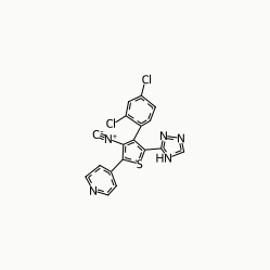 [C-]#[N+]c1c(-c2ccncc2)sc(-c2nnc[nH]2)c1-c1ccc(Cl)cc1Cl